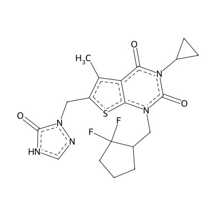 Cc1c(Cn2nc[nH]c2=O)sc2c1c(=O)n(C1CC1)c(=O)n2CC1CCCC1(F)F